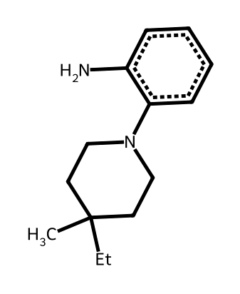 CCC1(C)CCN(c2ccccc2N)CC1